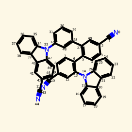 N#Cc1ccc(-c2ccc(C#N)cc2-n2c3ccccc3c3ccccc32)c(-c2cccc(-n3c4ccccc4c4cc(C#N)ccc43)c2)c1